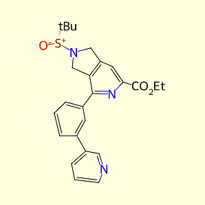 CCOC(=O)c1cc2c(c(-c3cccc(-c4cccnc4)c3)n1)CN([S@+]([O-])C(C)(C)C)C2